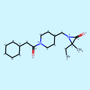 CC(C)CC1(C)C(=O)N1CC1CCN(C(=O)CC2CCCCC2)CC1